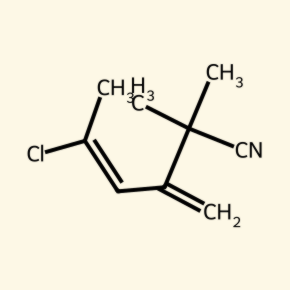 C=C(/C=C(\C)Cl)C(C)(C)C#N